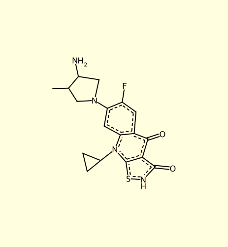 CC1CN(c2cc3c(cc2F)c(=O)c2c(=O)[nH]sc2n3C2CC2)CC1N